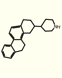 c1ccc2c(c1)CCc1c-2ccc2c1CC(C1CCNCC1)CC2